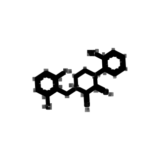 N#Cc1ccccc1N1CCN(Cc2c(F)cccc2Cl)C(=O)C1=O